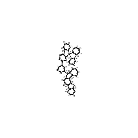 c1cc(-c2ccc3c(c2)C2(c4ccccc4-c4ccccc42)c2ccccc2-3)cc(-n2c3ccccc3c3c4sc5ccccc5c4ccc32)c1